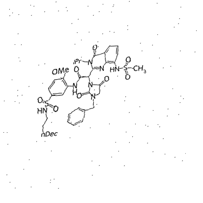 CCCCCCCCCCCCNS(=O)(=O)c1ccc(OC)c(NC(=O)C(c2nc3c(NS(C)(=O)=O)cccc3c(=O)n2C(C)C)N2C(=O)CN(Cc3ccccc3)C2=O)c1